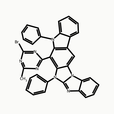 Cc1nc(Br)nc(-c2c3c(cc4c2n(-c2ccccc2)c2nc5ccccc5n42)c2ccccc2n3-c2ccccc2)n1